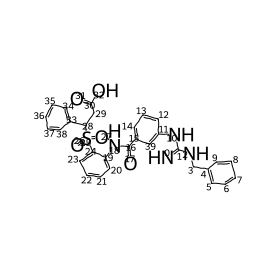 N=C(NCc1ccccc1)Nc1cccc(C(=O)Nc2ccccc2S(=O)(=O)C(CC(=O)O)c2ccccc2)c1